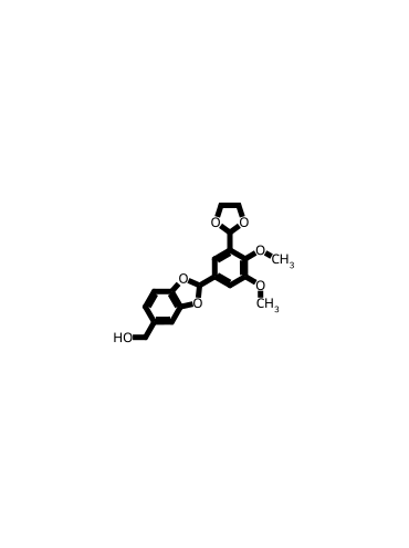 COc1cc(C2Oc3ccc(CO)cc3O2)cc(C2OCCO2)c1OC